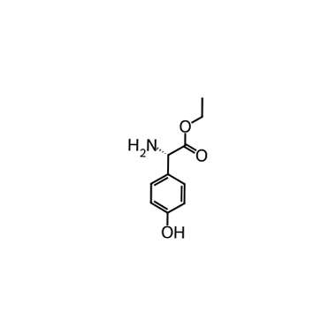 CCOC(=O)[C@@H](N)c1ccc(O)cc1